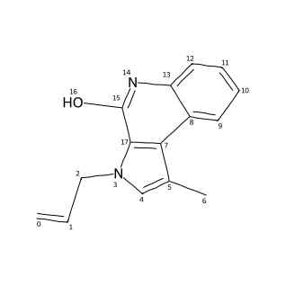 C=CCn1cc(C)c2c3ccccc3nc(O)c21